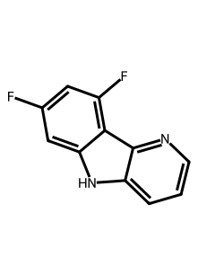 Fc1cc(F)c2c(c1)[nH]c1cccnc12